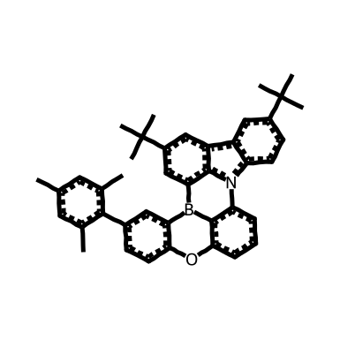 Cc1cc(C)c(-c2ccc3c(c2)B2c4c(cccc4-n4c5ccc(C(C)(C)C)cc5c5cc(C(C)(C)C)cc2c54)O3)c(C)c1